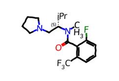 CC(C)[C@@H](CN1CCCC1)N(C)C(=O)c1c(F)cccc1C(F)(F)F